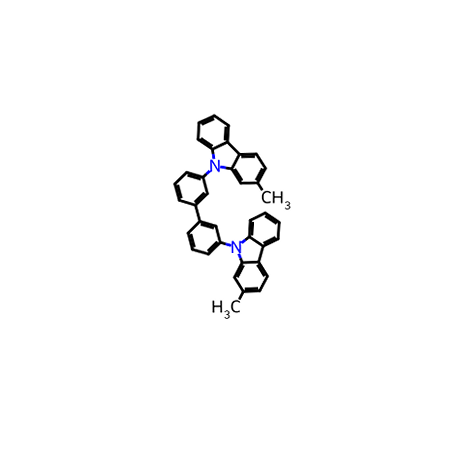 Cc1ccc2c3ccccc3n(-c3cccc(-c4cccc(-n5c6ccccc6c6ccc(C)cc65)c4)c3)c2c1